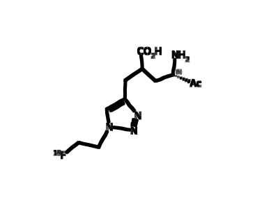 CC(=O)[C@@H](N)CC(Cc1cn(CC[18F])nn1)C(=O)O